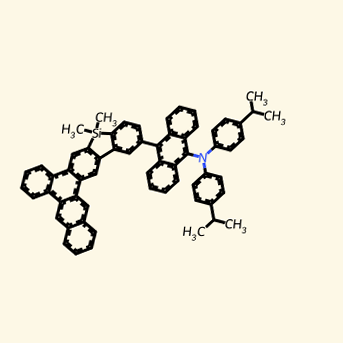 CC(C)c1ccc(N(c2ccc(C(C)C)cc2)c2c3ccccc3c(-c3ccc4c(c3)-c3cc5c(cc3[Si]4(C)C)c3ccccc3c3cc4ccccc4cc53)c3ccccc23)cc1